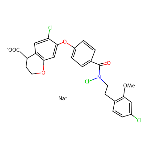 COc1cc(Cl)ccc1CCN(Cl)C(=O)c1ccc(Oc2cc3c(cc2Cl)C(C(=O)[O-])CCO3)cc1.[Na+]